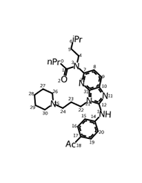 CCCC(=O)N(CCC(C)C)c1ccc2nc(Nc3ccc(C(C)=O)cc3)n(CCCN3CCCCC3)c2n1